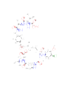 COc1ccc(C[C@H]2NC(=O)/C=C/C[C@@H](C(C)C3OC3c3ccc(CNC(=O)C(C)NC(=O)C(NC(=O)O)C(C)C)cc3)OC(=O)[C@H](CC(C)C)NC(=O)C(C)(C)C(C)NC2=O)cc1Cl